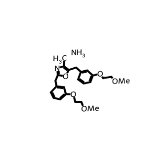 COCCOc1cccc(Cc2nc(C)c(Cc3cccc(OCCOC)c3)o2)c1.N